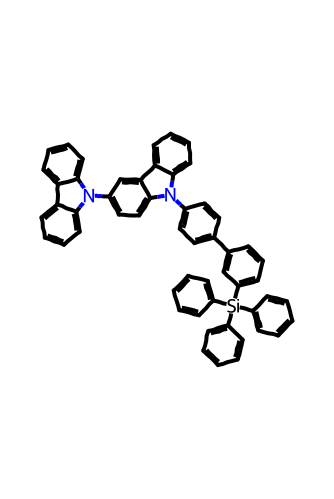 c1ccc([Si](c2ccccc2)(c2ccccc2)c2cccc(-c3ccc(-n4c5ccccc5c5cc(-n6c7ccccc7c7ccccc76)ccc54)cc3)c2)cc1